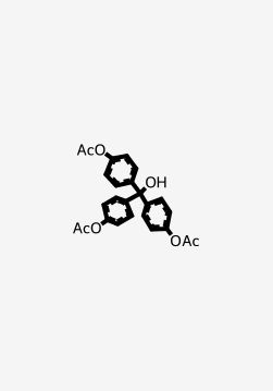 CC(=O)Oc1ccc(C(O)(c2ccc(OC(C)=O)cc2)c2ccc(OC(C)=O)cc2)cc1